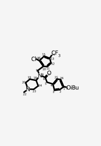 CC(C)COc1ccc(CC(=O)N(Cc2ccc(C(F)(F)F)cc2Cl)C2CCN(C)CC2)cc1